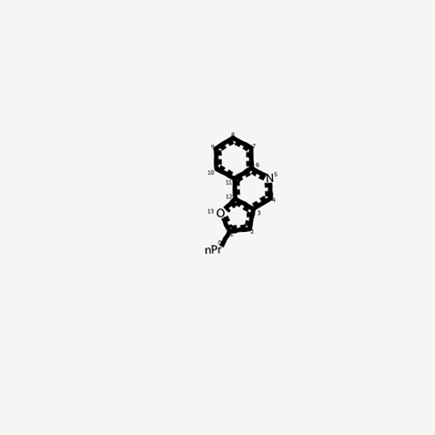 CCCc1cc2cnc3ccccc3c2o1